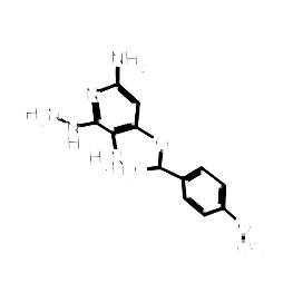 CC(Oc1cc(N)nc(NN)c1N)c1ccc(OC(F)(F)F)cc1